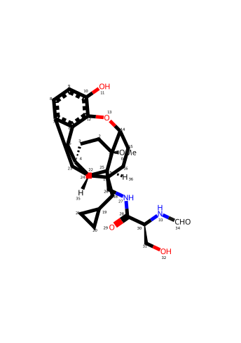 CO[C@@]12CC[C@@]3(Cc4c5ccc(O)c4OC1CCC(CC1CC1)[C@@H]3C5)C[C@@H]2CNC(=O)[C@H](CO)NC=O